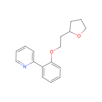 c1ccc(-c2ccccc2OCCC2CCCO2)nc1